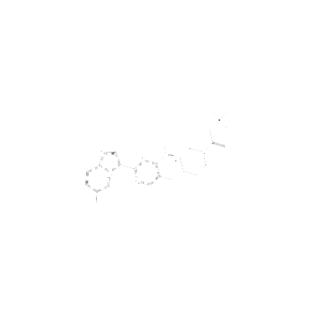 C=C(CC(F)(F)F)N1CCC[C@@H](Nc2nc(-c3cnc4ccc(F)cn34)ncc2F)C1